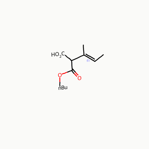 C/C=C(\C)C(C(=O)O)C(=O)OCCCC